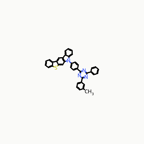 Cc1cccc(-c2nc(-c3ccccc3)nc(-c3ccc(-n4c5ccccc5c5cc6c(cc54)sc4ccccc46)cc3)n2)c1